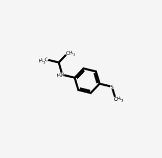 CSc1ccc(NC(C)C)cc1